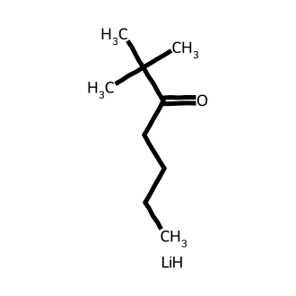 CCCCC(=O)C(C)(C)C.[LiH]